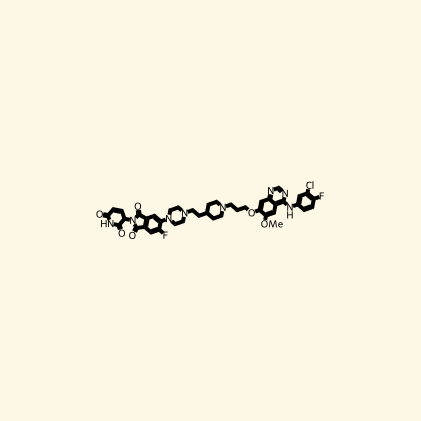 COc1cc2c(Nc3ccc(F)c(Cl)c3)ncnc2cc1OCCCN1CCC(CCN2CCN(c3cc4c(cc3F)C(=O)N(C3C=CC(=O)NC3=O)C4=O)CC2)CC1